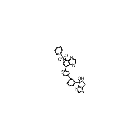 O=S(=O)(c1ccccc1)n1cc(-c2nc(-c3cccc(C4(O)CCc5scnc54)c3)cs2)c2nccnc21